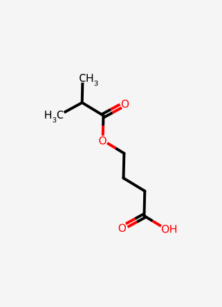 CC(C)C(=O)OCCCC(=O)O